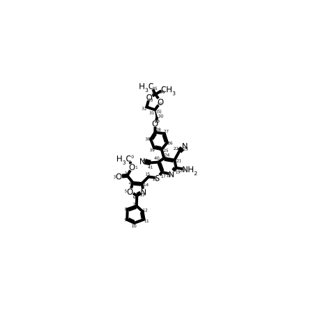 COC(=O)c1oc(-c2ccccc2)nc1CSc1nc(N)c(C#N)c(-c2ccc(OC[C@H]3COC(C)(C)O3)cc2)c1C#N